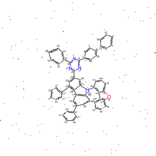 c1ccc(-c2ccc(-c3nc(-c4ccccc4)nc(-c4cc(-c5ccccc5)c5c6cc(-c7ccccc7)ccc6n(-c6cccc7oc8ccccc8c67)c5c4)n3)cc2)cc1